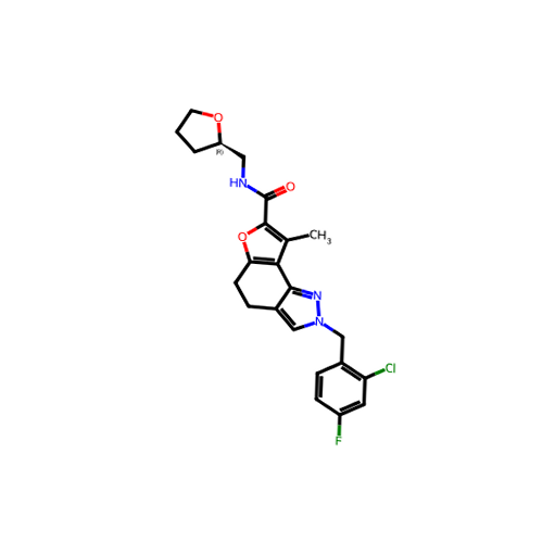 Cc1c(C(=O)NC[C@H]2CCCO2)oc2c1-c1nn(Cc3ccc(F)cc3Cl)cc1CC2